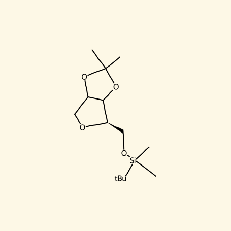 CC1(C)OC2CO[C@H](CO[Si](C)(C)C(C)(C)C)C2O1